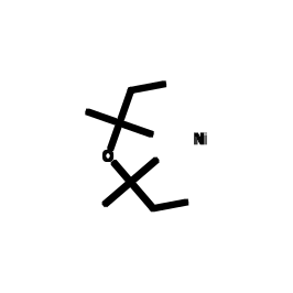 CCC(C)(C)OC(C)(C)CC.[Ni]